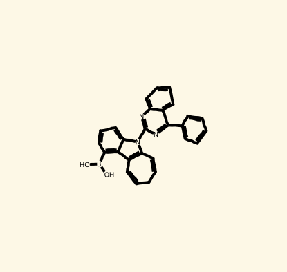 OB(O)c1cccc2c1c1c(n2-c2nc(-c3ccccc3)c3ccccc3n2)C=CCC=C1